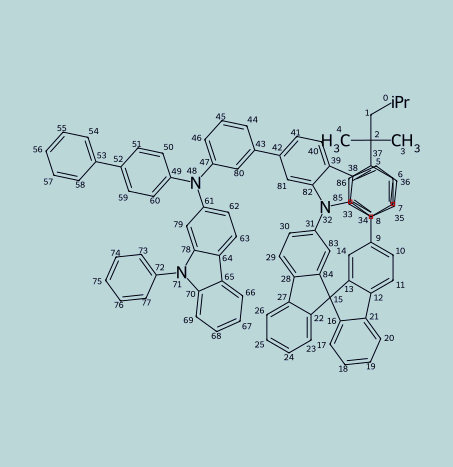 CC(C)CC(C)(C)c1ccc(-c2ccc3c(c2)C2(c4ccccc4-3)c3ccccc3-c3ccc(-n4c5ccccc5c5ccc(-c6cccc(N(c7ccc(-c8ccccc8)cc7)c7ccc8c9ccccc9n(-c9ccccc9)c8c7)c6)cc54)cc32)cc1